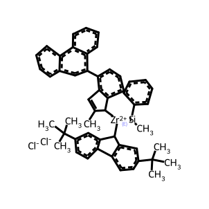 CC1=Cc2c(-c3cc4ccccc4c4ccccc34)cccc2[CH]1/[Zr+2]([CH]1c2cc(C(C)(C)C)ccc2-c2ccc(C(C)(C)C)cc21)=[Si](/C)c1ccccc1.[Cl-].[Cl-]